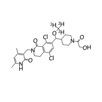 [2H]C([2H])([2H])OC(c1cc(Cl)c2c(c1Cl)C(=O)N(Cc1c(C)cc(C)[nH]c1=O)CC2)C1CCN(C(=O)CO)CC1